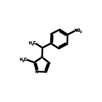 Cc1nccn1C(C)c1ccc([N+](=O)[O-])cc1